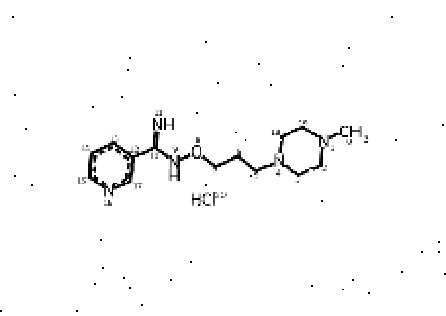 CN1CCN(CCCONC(=N)c2cccnc2)CC1.Cl